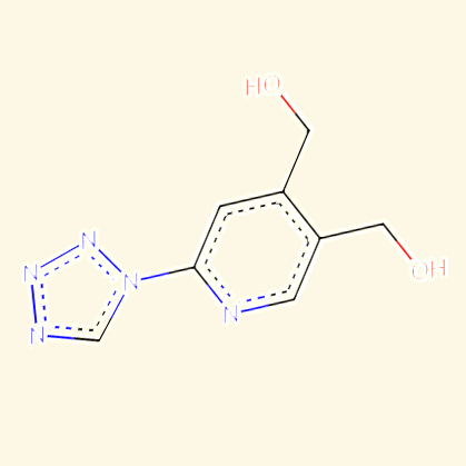 OCc1cnc(-n2cnnn2)cc1CO